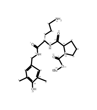 Cc1cc(CNC(=O)[C@H](CCCN)NC(=O)C2CCCN2C(=O)OC(C)(C)C)cc(C)c1O